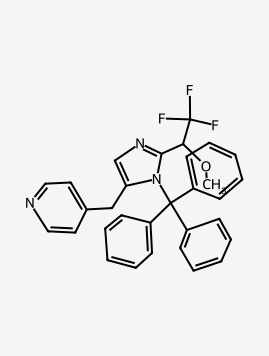 COC(c1ncc(Cc2ccncc2)n1C(c1ccccc1)(c1ccccc1)c1ccccc1)C(F)(F)F